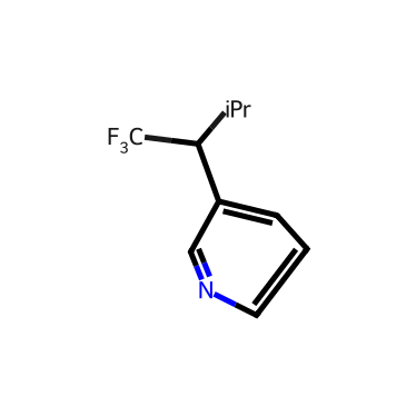 CC(C)C(c1cccnc1)C(F)(F)F